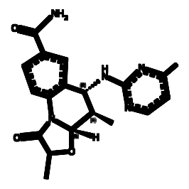 Cc1ccnc(N[C@H]2c3cc(C(N)=O)ccc3N3C(=O)C(C)O[C@H]3[C@@H]2C)n1